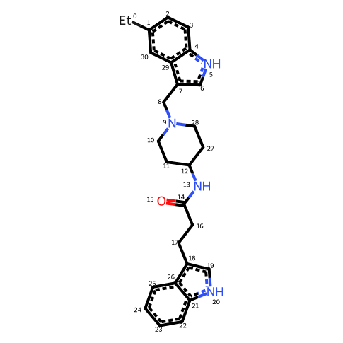 CCc1ccc2[nH]cc(CN3CCC(NC(=O)CCc4c[nH]c5ccccc45)CC3)c2c1